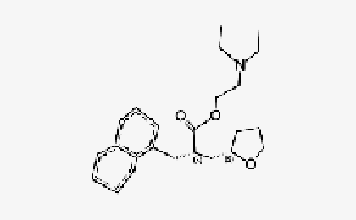 CCN(CC)CCOC(=O)[C@@H](Cc1cccc2ccccc12)C[C@@H]1CCCO1